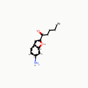 CC(C)CCCC(=O)c1cc2ccc(N)cc2o1